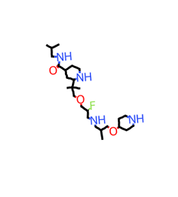 CC(C)CNC(=O)C1CCNC(C(C)(C)COC[C@@H](F)CNCC(C)COC2CCNCC2)C1